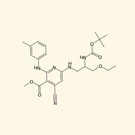 CCOCC(CNc1cc(C#N)c(C(=O)OC)c(Nc2cccc(C)c2)n1)NC(=O)OC(C)(C)C